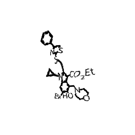 CCOC(=O)c1c(CSc2nc(-c3ccccc3)cs2)n(C2CC2)c2cc(Br)c(O)c(CN3CCOCC3)c12